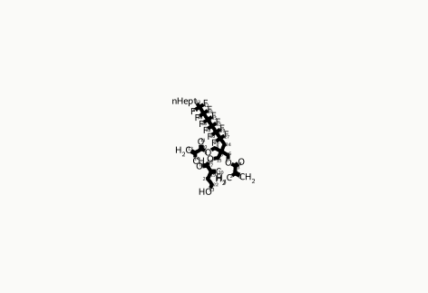 C=C(C)C(=O)OCC(COC(=O)C(=C)C)(COC(=O)C(=C)CCO)CC(F)(F)C(F)(F)C(F)(F)C(F)(F)C(F)(F)C(F)(F)CCCCCCC